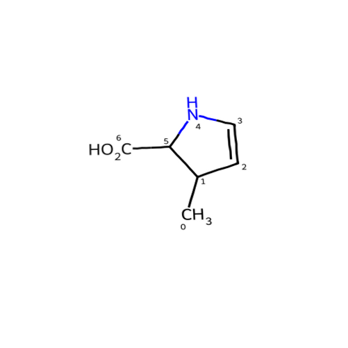 CC1C=CNC1C(=O)O